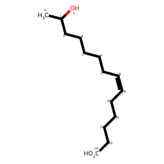 CC(O)CCCCC/C=C\CCCCC(=O)O